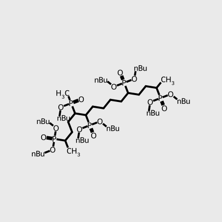 CCCCOP(C)(=O)C(CCC(C)P(=O)(OCCCC)OCCCC)C(CCCCC(CCC(C)P(=O)(OCCCC)OCCCC)P(=O)(OCCCC)OCCCC)P(=O)(OCCCC)OCCCC